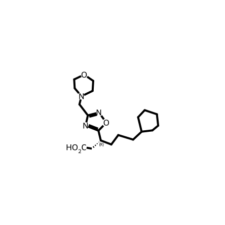 O=C(O)C[C@@H](CCCC1CCCCC1)c1nc(CN2CCOCC2)no1